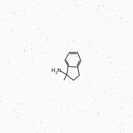 CC1(N)CCc2ccccc21